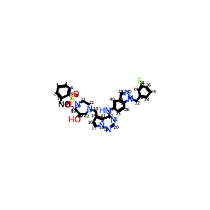 O=[N+]([O-])c1ccccc1S(=O)(=O)N1CCN(Cc2ccn3ncnc(Nc4ccc5c(cnn5Cc5cccc(F)c5)c4)c23)C[C@H](O)C1